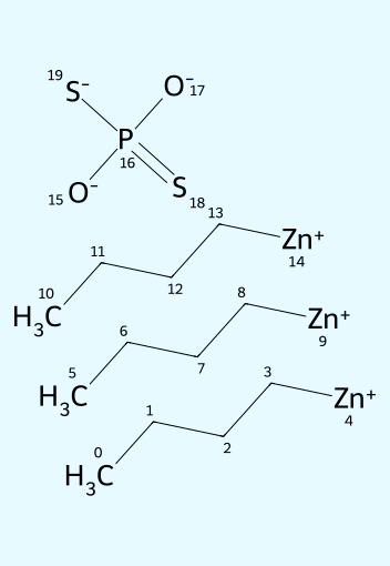 CCC[CH2][Zn+].CCC[CH2][Zn+].CCC[CH2][Zn+].[O-]P([O-])(=S)[S-]